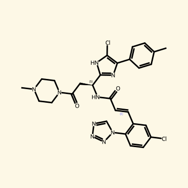 Cc1ccc(-c2nc([C@H](CC(=O)N3CCN(C)CC3)NC(=O)/C=C/c3cc(Cl)ccc3-n3cnnn3)[nH]c2Cl)cc1